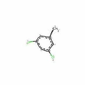 [CH2]c1cc(Cl)cc(Cl)c1